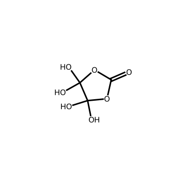 O=C1OC(O)(O)C(O)(O)O1